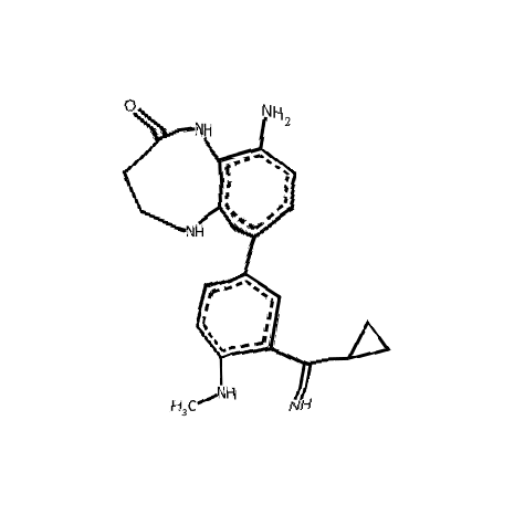 CNc1ccc(-c2ccc(N)c3c2NCCC(=O)N3)cc1C(=N)C1CC1